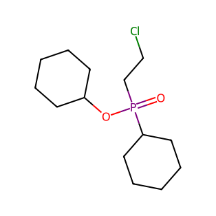 O=P(CCCl)(OC1CCCCC1)C1CCCCC1